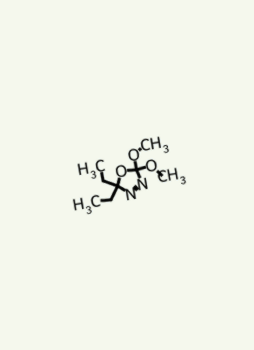 CCC1(CC)N=NC(OC)(OC)O1